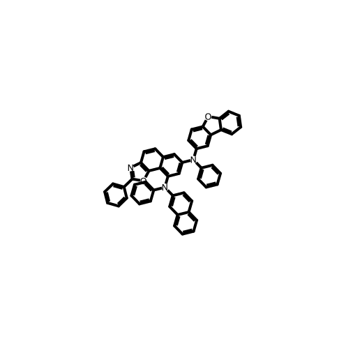 c1ccc(-c2nc3ccc4cc(N(c5ccccc5)c5ccc6oc7ccccc7c6c5)cc(N(c5ccccc5)c5ccc6ccccc6c5)c4c3o2)cc1